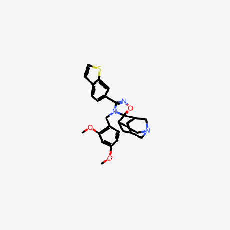 COc1ccc(CN2C(c3ccc4ccsc4c3)=NOC23C2CC4CC3CN(C4)C2)c(OC)c1